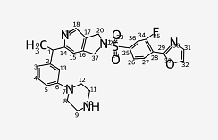 CC(c1cccc(N2CCNCC2)c1)c1cc2c(cn1)CN(S(=O)(=O)c1ccc(-c3ncco3)c(F)c1)C2